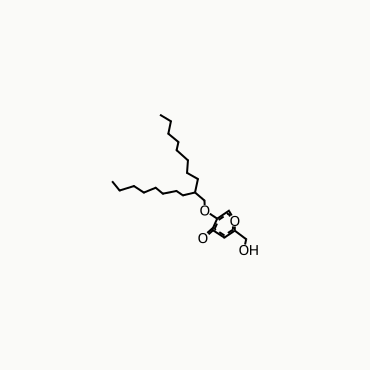 CCCCCCCCC(CCCCCCCC)COc1coc(CO)cc1=O